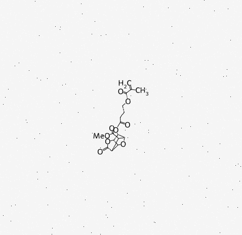 C=C(C)C(=O)OCCCC(=O)OC1C2OC(=O)C3C2OC1C3C(=O)OC